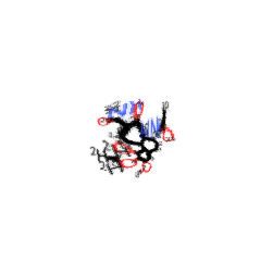 [2H]C([2H])([2H])Oc1c(OC)cc2c(c1OC)-c1ccc(C(=O)NC)c(=O)cc1[C@@H](NC(C)=O)CC2